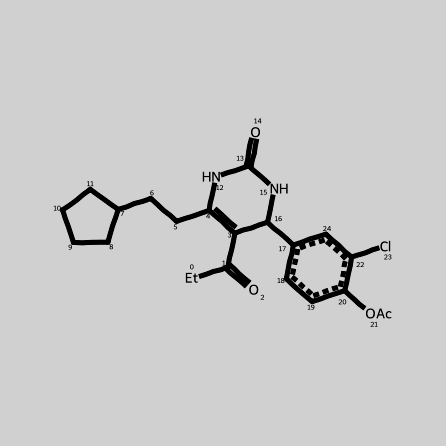 CCC(=O)C1=C(CCC2CCCC2)NC(=O)NC1c1ccc(OC(C)=O)c(Cl)c1